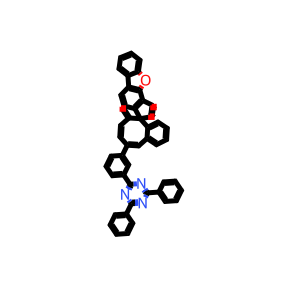 C=C1/C=C\C(c2cccc(-c3nc(-c4ccccc4)nc(-c4ccccc4)n3)c2)=C/c2ccccc2C12c1ccccc1-c1c2ccc2c1oc1ccccc12